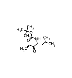 C=CC(=O)[C@@H](CC(C)C)NC(=O)OC(C)(C)C